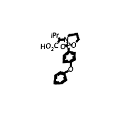 CC(C)C(C(=O)O)N1CCCOP1(=O)c1ccc(Oc2ccccc2)cc1